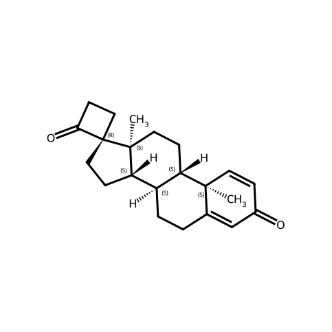 C[C@]12C=CC(=O)C=C1CC[C@@H]1[C@@H]2CC[C@@]2(C)[C@H]1CC[C@@]21CCC1=O